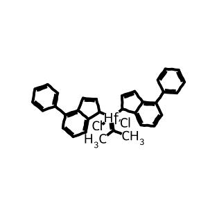 C[C](C)=[Hf]([Cl])([Cl])([CH]1C=Cc2c(-c3ccccc3)cccc21)[CH]1C=Cc2c(-c3ccccc3)cccc21